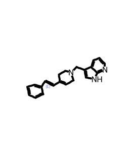 C1=C(/C=C/c2ccccc2)CCN(Cc2c[nH]c3ncccc23)C1